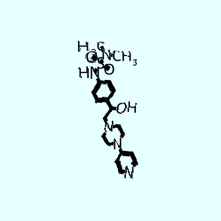 CN(C)S(=O)(=O)Nc1ccc(C(O)CN2CCN(c3ccncc3)CC2)cc1